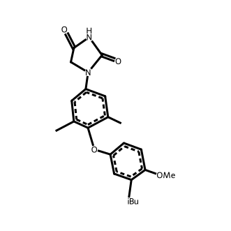 CCC(C)c1cc(Oc2c(C)cc(N3CC(=O)NC3=O)cc2C)ccc1OC